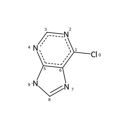 Clc1ncnc2c1N=C[N]2